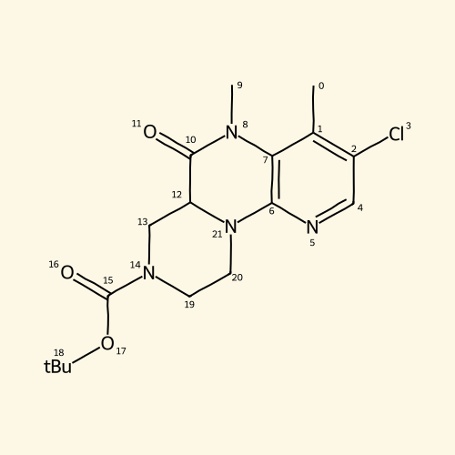 Cc1c(Cl)cnc2c1N(C)C(=O)C1CN(C(=O)OC(C)(C)C)CCN21